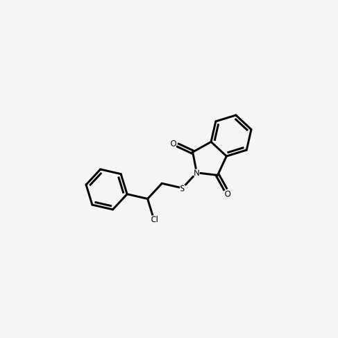 O=C1c2ccccc2C(=O)N1SCC(Cl)c1ccccc1